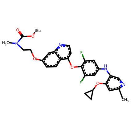 Cc1cc(OC2CC2)c(Nc2cc(F)c(Oc3ccnc4cc(OCCN(C)C(=O)OC(C)(C)C)ccc34)c(F)c2)cn1